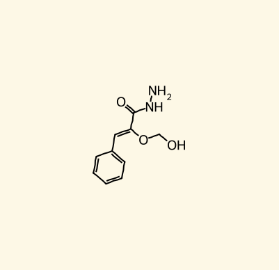 NNC(=O)C(=Cc1ccccc1)OCO